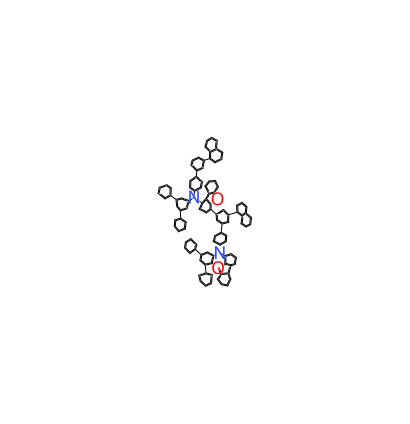 c1ccc(-c2cc(-c3ccccc3)cc(N(c3ccc(-c4cc(-c5cccc6ccccc56)cc(-c5ccc(N(c6ccc(-c7cccc(-c8cccc9ccccc89)c7)cc6)c6cc(-c7ccccc7)cc(-c7ccccc7)c6)c6c5oc5ccccc56)c4)cc3)c3cccc4c3oc3ccccc34)c2)cc1